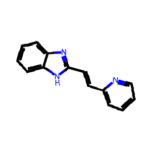 C(=Cc1nc2ccccc2[nH]1)c1ccccn1